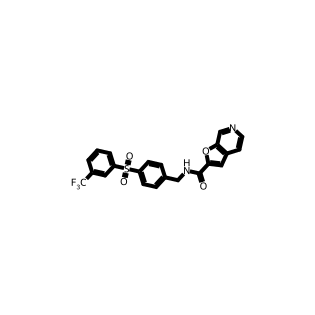 O=C(NCc1ccc(S(=O)(=O)c2cccc(C(F)(F)F)c2)cc1)c1cc2ccncc2o1